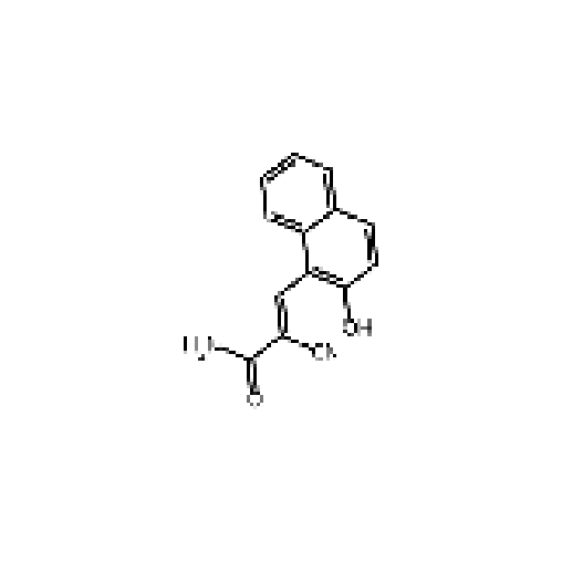 N#CC(=Cc1c(O)ccc2ccccc12)C(N)=O